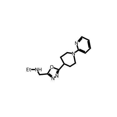 CCNCc1nnc(C2CCN(c3ccccn3)CC2)o1